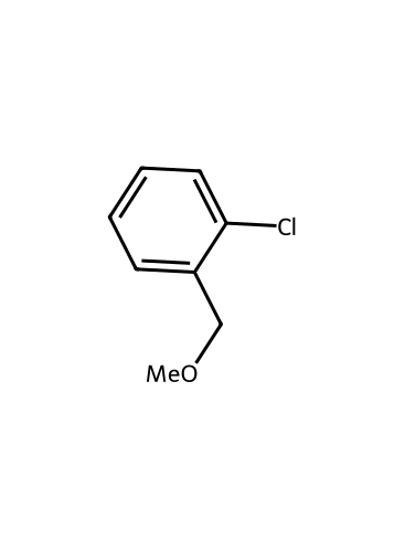 [CH2]OCc1ccccc1Cl